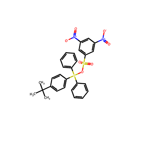 CC(C)(C)c1ccc(S(OS(=O)(=O)c2cc([N+](=O)[O-])cc([N+](=O)[O-])c2)(c2ccccc2)c2ccccc2)cc1